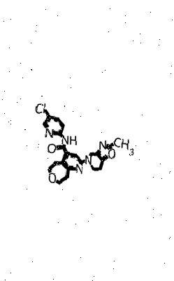 Cc1nc2c(o1)CCN(c1cc(C(=O)Nc3ccc(Cl)cn3)c3c(n1)CCOCC3)C2